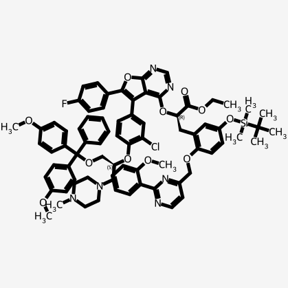 CCOC(=O)[C@@H](Cc1cc(O[Si](C)(C)C(C)(C)C)ccc1OCc1ccnc(-c2ccccc2OC)n1)Oc1ncnc2oc(-c3ccc(F)cc3)c(-c3ccc(O[C@H](COC(c4ccccc4)(c4ccc(OC)cc4)c4ccc(OC)cc4)CN4CCN(C)CC4)c(Cl)c3)c12